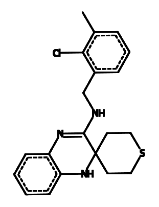 Cc1cccc(CNC2=Nc3ccccc3NC23CCSCC3)c1Cl